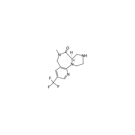 CN1Cc2cc(C(F)(F)F)cnc2N2CCNC[C@@H]2C1=O